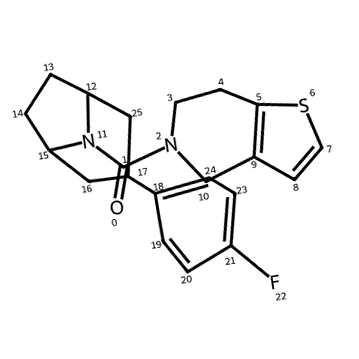 O=C(N1CCc2sccc2C1)N1C2CCC1CC(c1ccc(F)cc1)C2